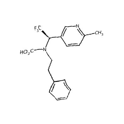 Cc1ccc([C@@H](N(CCc2ccccc2)C(=O)O)C(F)(F)F)cn1